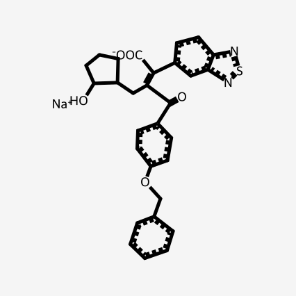 O=C([O-])C(=C(CC1CCCC1O)C(=O)c1ccc(OCc2ccccc2)cc1)c1ccc2nsnc2c1.[Na+]